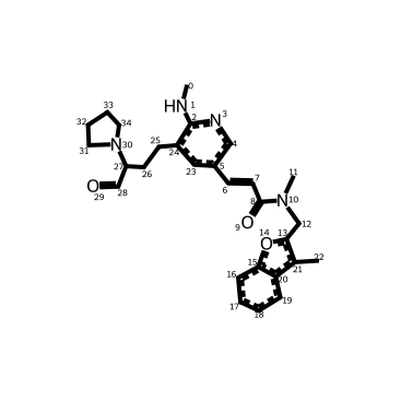 CNc1ncc(/C=C/C(=O)N(C)Cc2oc3ccccc3c2C)cc1CCC(C=O)N1CCCC1